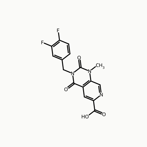 Cn1c(=O)n(Cc2ccc(F)c(F)c2)c(=O)c2cc(C(=O)O)ncc21